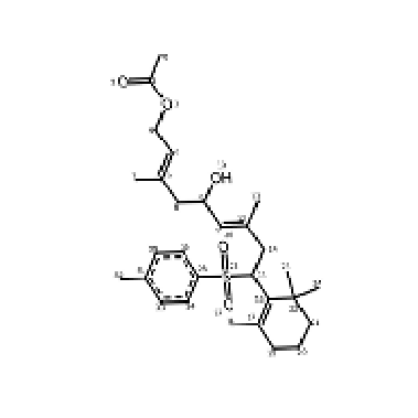 CC(=O)OCC=C(C)CC(O)C=C(C)CC(C1=C(C)CCCC1(C)C)S(=O)(=O)c1ccc(C)cc1